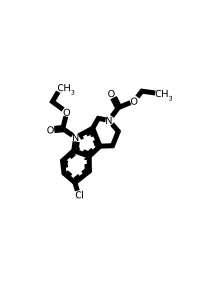 CCOC(=O)N1CCc2c(n(C(=O)OCC)c3ccc(Cl)cc23)C1